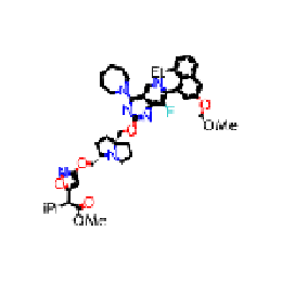 CCc1cccc2cc(OCOC)cc(-c3ncc4c(N5CCCCCC5)nc(OC[C@@]56CCCN5[C@H](COc5cc(C(C(=O)OC)C(C)C)on5)CC6)nc4c3F)c12